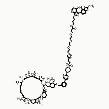 COC1C[C@@H]2CC[C@@H](C)[C@@](O)(O2)C(=O)C(=O)N2CCCC[C@H]2C(=O)OC([C@H](N)CC2CCC(OCc3cccc(-c4cnc(N5CCN(S(=O)(=O)CCc6cn(CCOCCOCCOCCC(=O)NCCCCn7nc(-c8ccc9oc(N)nc9c8)c8c(N)ncnc87)nn6)CC5)nc4)c3)[C@H](OC)C2)CC(=O)C(C)/C=C(\C)C(O)[C@@H](O)C(=O)C(C)CC(C)/C=C/C=C/C=C/1C